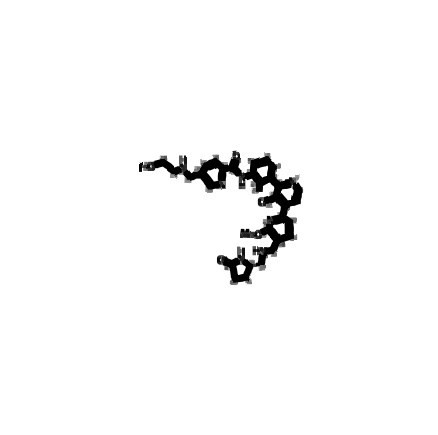 COc1nc(-c2ccnc(-c3cccc(NC(=O)c4ccc(CNCCO)cn4)c3C)c2Cl)ccc1CNC[C@@H]1CCC(=O)N1